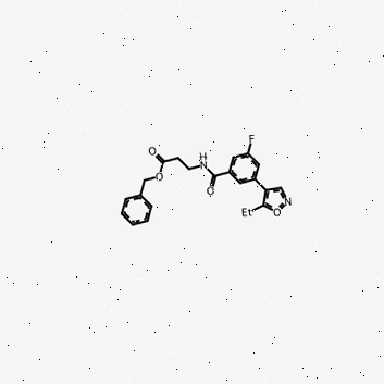 CCc1oncc1-c1cc(F)cc(C(=O)NCCC(=O)OCc2ccccc2)c1